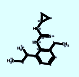 CCc1cccc(C(C)CC)c1NC(=S)NC1CC1